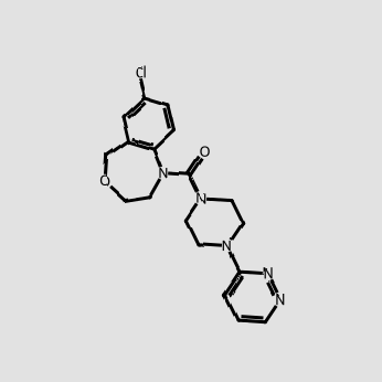 O=C(N1CCN(c2cccnn2)CC1)N1CCOCc2cc(Cl)ccc21